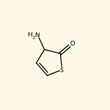 NC1C=CSC1=O